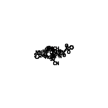 CC(C)(C)[Si](C)(C)CO[C@H]1[C@H]2OP(=S)(OCCC#N)OC[C@H]3O[C@@H](n4cc5c6c(ncnc64)SCCC5)[C@H](F)[C@@H]3OP(=O)(S)OC[C@H]1O[C@H]2n1cnc2c(=O)n(CCN3C(=O)c4ccccc4C3=O)cnc21